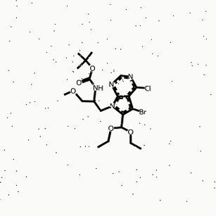 CCOC(OCC)c1c(Br)c2c(Cl)ncnc2n1CC(COC)NC(=O)OC(C)(C)C